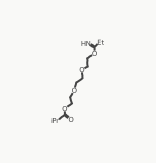 CCC(=N)OCCOCCOCCOC(=O)C(C)C